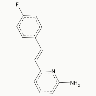 Nc1cccc(/C=C/c2ccc(F)cc2)n1